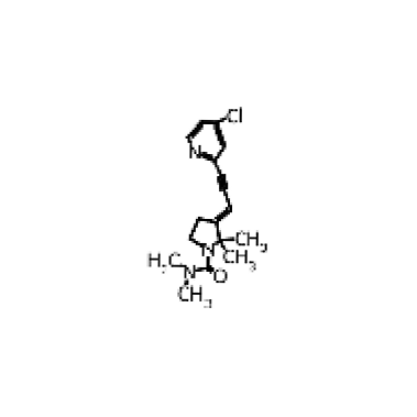 CN(C)C(=O)N1CC/C(=C\C#Cc2cc(Cl)ccn2)C1(C)C